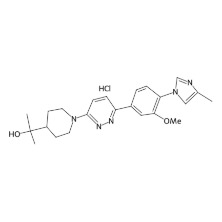 COc1cc(-c2ccc(N3CCC(C(C)(C)O)CC3)nn2)ccc1-n1cnc(C)c1.Cl